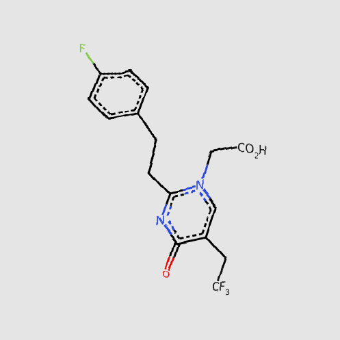 O=C(O)Cn1cc(CC(F)(F)F)c(=O)nc1CCc1ccc(F)cc1